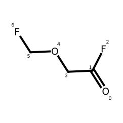 O=C(F)COCF